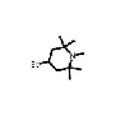 [CH2]CC1CC(C)(C)N(C)C(C)(C)C1